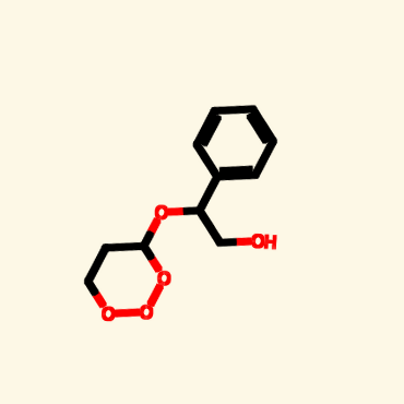 OCC(OC1CCOOO1)c1ccccc1